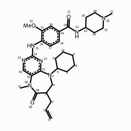 C=CCC1CN(C2CCCCC2)c2nc(Nc3ccc(C(=O)NC4CCN(C)CC4)cc3OC)ncc2N(C)C1=O